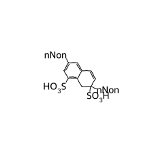 CCCCCCCCCc1cc2c(c(S(=O)(=O)O)c1)CC(CCCCCCCCC)(S(=O)(=O)O)C=C2